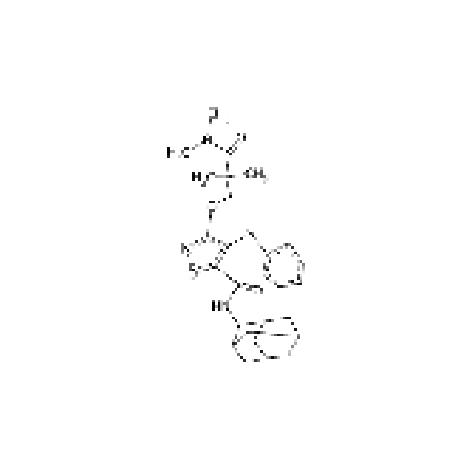 CN(C)C(=O)C(C)(C)COc1noc(C(=O)NC2C3CC4CC(C3)CC2C4)c1Sc1ccccc1